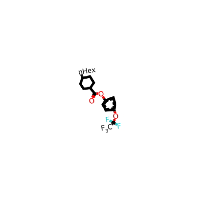 CCCCCCC1CCC(C(=O)Oc2ccc(OC(F)(F)C(F)(F)F)cc2)CC1